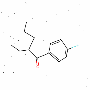 CCCC(CC)C(=O)c1ccc(F)cc1